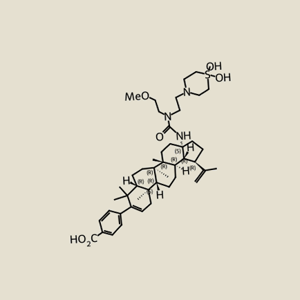 C=C(C)[C@@H]1CC[C@]2(NC(=O)N(CCOC)CCN3CCS(O)(O)CC3)CC[C@]3(C)[C@H](CC[C@@H]4[C@@]5(C)CC=C(c6ccc(C(=O)O)cc6)C(C)(C)[C@@H]5CC[C@]43C)[C@@H]12